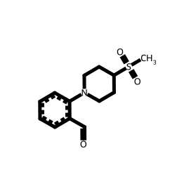 CS(=O)(=O)C1CCN(c2ccccc2C=O)CC1